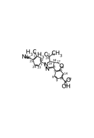 Cc1cc(N2N=C3c4ccc(C(=O)O)cc4OCC3C2C(C)C)ccc1C#N